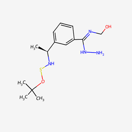 C[C@H](NSOC(C)(C)C)c1cccc(/C(=N/CO)NN)c1